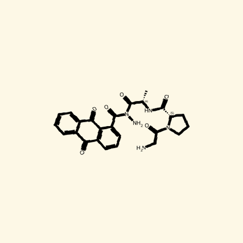 C[C@H](NC(=O)[C@@H]1CCCN1C(=O)CN)C(=O)N(N)C(=O)c1cccc2c1C(=O)c1ccccc1C2=O